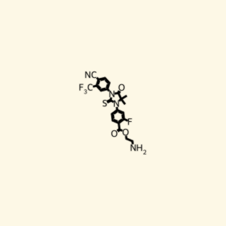 CC1(C)C(=O)N(c2ccc(C#N)c(C(F)(F)F)c2)C(=S)N1c1ccc(C(=O)OCCN)c(F)c1